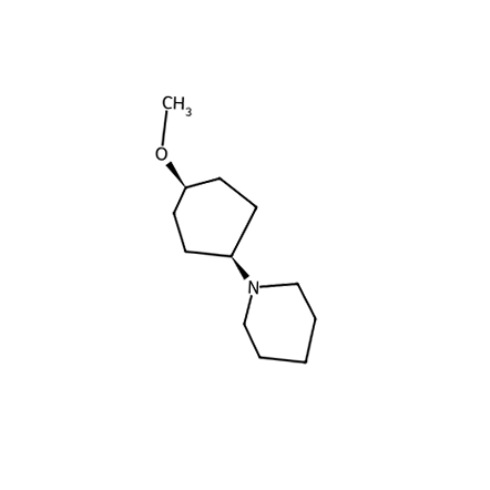 CO[C@H]1CC[C@@H](N2CCCCC2)CC1